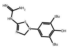 CC(C)(C)c1cc(N2CN=C(NC(=N)N)S2)cc(C(C)(C)C)c1O